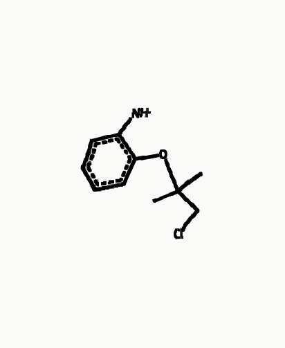 CC(C)(CCl)Oc1ccccc1[NH]